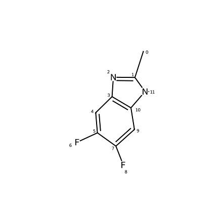 CC1=Nc2cc(F)c(F)cc2[N]1